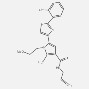 C=CCNC(=O)c1cc(-c2csc(-c3ccccc3Cl)n2)n(CCOC)c1C